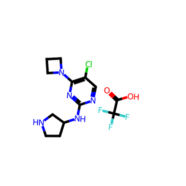 Clc1cnc(NC2CCNC2)nc1N1CCC1.O=C(O)C(F)(F)F